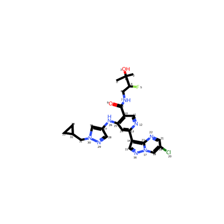 CC(C)(O)C(F)CNC(=O)c1cnc(-c2cnn3cc(Cl)cnc23)cc1Nc1cnn(CC2CC2)c1